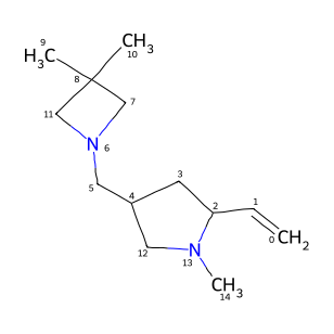 C=CC1CC(CN2CC(C)(C)C2)CN1C